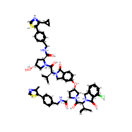 Cc1ncsc1-c1ccc(CNC(=O)[C@@H]2C[C@@H](Oc3ccc4c(c3)CN([C@H](C(=O)N3C[C@H](O)C[C@H]3C(=O)NCc3ccc(-c5scnc5C5CC5)cc3)C(C)C)C4=O)CN2C(=O)[C@H](C(C)C)N2Cc3cccc(Cl)c3C2=O)cc1